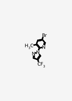 Cc1cc(Br)cnc1-n1cc(C(F)(F)F)cn1